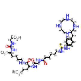 O=C(O)CCC(NC(=O)CNC(=O)CCCCCNC(=S)Nc1ccc(CC2CNCCNCCNCCN2)cc1)C(=O)NCCCCC(NC(=O)NCC(=O)O)C(=O)O